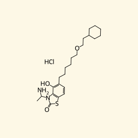 CC(N)n1c(=O)sc2ccc(CCCCCCOCCC3CCCCC3)c(O)c21.Cl